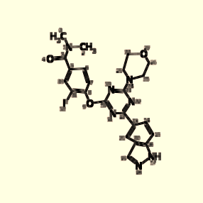 CN(C)C(=O)c1ccc(Oc2nc(-c3ccc4[nH]ncc4c3)nc(N3CCOCC3)n2)c(F)c1